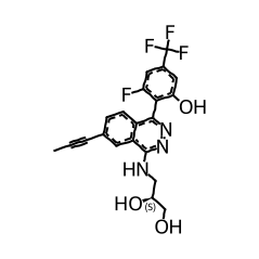 CC#Cc1ccc2c(-c3c(O)cc(C(F)(F)F)cc3F)nnc(NC[C@H](O)CO)c2c1